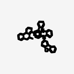 CC1Cc2ccccc2-c2cccc(-c3ccc(N(c4ccc5oc6ccccc6c5c4)c4ccccc4-n4c5ccccc5c5ccccc54)cc3)c21